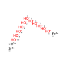 [Fe+2].[OH-].[OH-].[OH-].[OH-].[OH-].[OH-].[OH-].[OH-].[OH-].[OH-].[OH-].[V+5].[Zr+4]